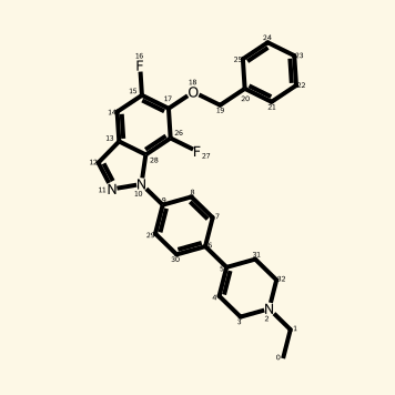 CCN1CC=C(c2ccc(-n3ncc4cc(F)c(OCc5ccccc5)c(F)c43)cc2)CC1